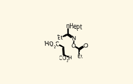 CCCCCCCC(CC)=NOC(=O)CC.O=C(O)C=CC(=O)O